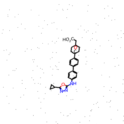 O=C(O)CC12CCC(c3ccc(-c4ccc(Nc5nnc(C6CC6)o5)cc4)cc3)(CC1)CO2